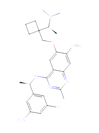 COc1cc2nc(C)nc(N[C@H](C)c3cc(N)cc(C(F)(F)F)c3)c2cc1OCC1([C@H](C)N(C)C)CCC1